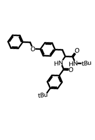 CC(C)(C)NC(=O)C(Cc1ccc(OCc2ccccc2)cc1)NC(=O)c1ccc(C(C)(C)C)cc1